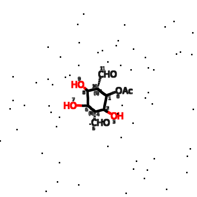 CC(=O)OC1C(O)[C@H](C=O)C(O)C(O)[C@@H]1C=O